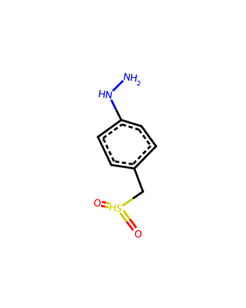 NNc1ccc(C[SH](=O)=O)cc1